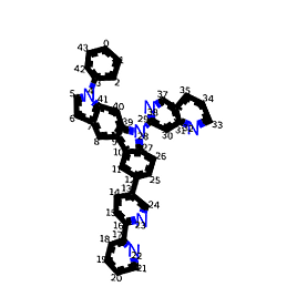 c1ccc(-n2ccc3cc4c5cc(-c6ccc(-c7ccccn7)nc6)ccc5n(-c5cc6ncccc6cn5)c4cc32)cc1